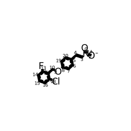 O=[N+]([O-])C=Cc1ccc(OCc2c(F)cccc2Cl)cc1